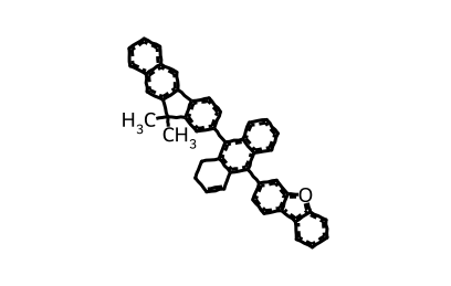 CC1(C)c2cc(-c3c4c(c(-c5ccc6c(c5)oc5ccccc56)c5ccccc35)C=CCC4)ccc2-c2cc3ccccc3cc21